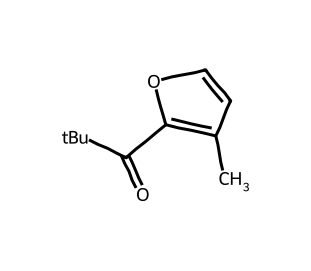 Cc1ccoc1C(=O)C(C)(C)C